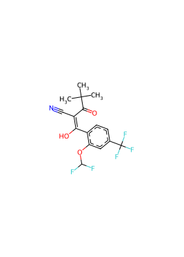 CC(C)(C)C(=O)C(C#N)=C(O)c1ccc(C(F)(F)F)cc1OC(F)F